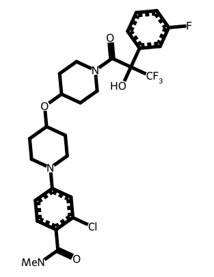 CNC(=O)c1ccc(N2CCC(OC3CCN(C(=O)C(O)(c4cccc(F)c4)C(F)(F)F)CC3)CC2)cc1Cl